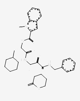 Cn1c(C(=O)N[C@@H](CC2CCCCC2)C(=O)N[C@@H](C[C@@H]2CCCNC2=O)C(=O)C(=O)NCc2ccccc2)cc2ccccc21